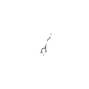 [N-]=[N+]=NCCOC[C@@]1(F)C[C@@H](C(=O)O)N(C(=O)O)C1